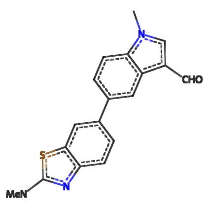 CNc1nc2ccc(-c3ccc4c(c3)c(C=O)cn4C)cc2s1